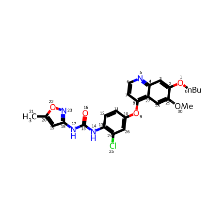 CCCCOc1cc2nccc(Oc3ccc(NC(=O)Nc4cc(C)on4)c(Cl)c3)c2cc1OC